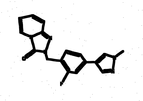 Cn1cc(-c2ccc(Cn3nc4ccccn4c3=O)c(F)c2)cn1